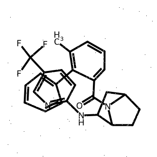 Cc1cccc(C(=O)N2C3CCC2C(Nc2ccc(C(F)(F)F)cn2)C3)c1-c1ccccc1